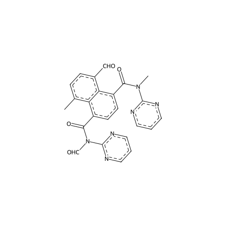 Cc1ccc(C=O)c2c(C(=O)N(C)c3ncccn3)ccc(C(=O)N(C=O)c3ncccn3)c12